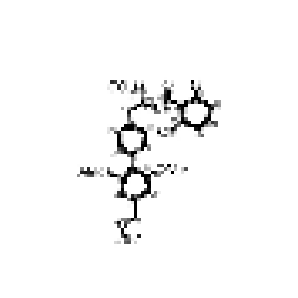 CCCOCc1cc(OC)c(-c2ccc(C[C@H](NC(=O)c3c(Cl)cccc3Cl)C(=O)O)cc2)c(OC)c1